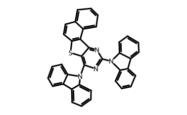 c1ccc2c(c1)ccc1sc3c(-n4c5ccccc5c5ccccc54)nc(-n4c5ccccc5c5ccccc54)nc3c12